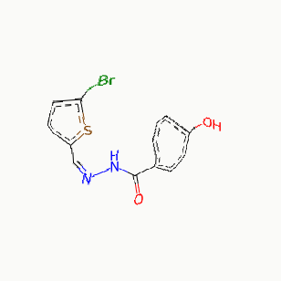 O=C(N/N=C\c1ccc(Br)s1)c1ccc(O)cc1